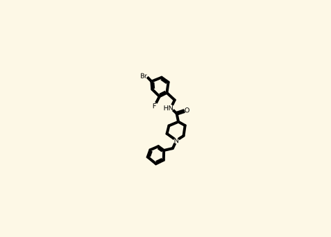 O=C(NCc1ccc(Br)cc1F)C1CCN(Cc2ccccc2)CC1